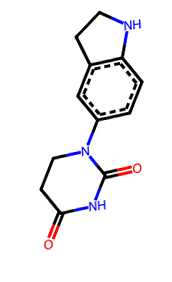 O=C1CCN(c2ccc3c(c2)CCN3)C(=O)N1